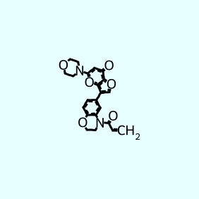 C=CC(=O)N1CCOc2ccc(-c3coc4c(=O)cc(N5CCOCC5)oc34)cc21